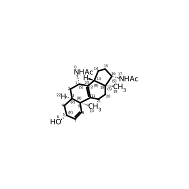 CC(=O)N[C@H]1C[C@@H]2C[C@@H](O)C=C[C@]2(C)C2=C1[C@@H]1CC[C@H](NC(C)=O)[C@@]1(C)CC2